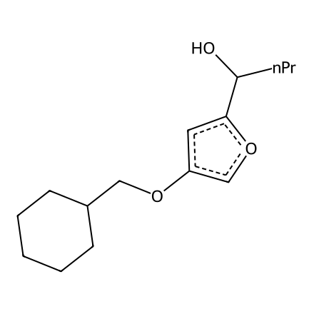 CCCC(O)c1cc(OCC2CCCCC2)co1